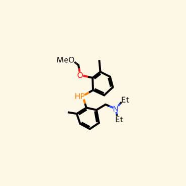 CCN(CC)Cc1cccc(C)c1Pc1cccc(C)c1OCOC